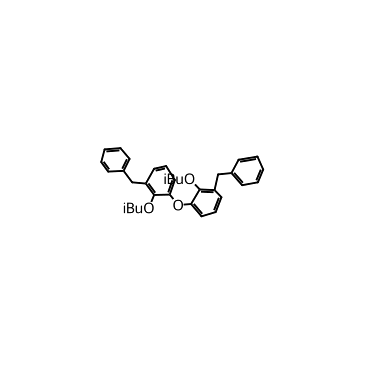 CC(C)COc1c(Cc2ccccc2)cccc1Oc1cccc(Cc2ccccc2)c1OCC(C)C